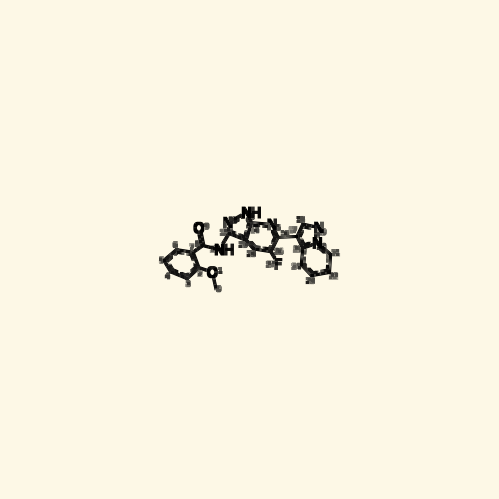 COc1ccccc1C(=O)Nc1n[nH]c2nc(-c3cnn4ccccc34)c(F)cc12